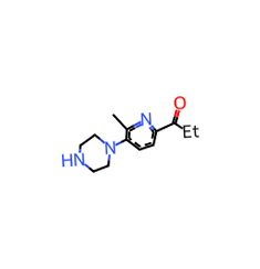 CCC(=O)c1ccc(N2CCNCC2)c(C)n1